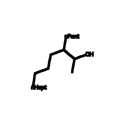 CCC[CH]CC(CCCCCCCCCC)C(C)O